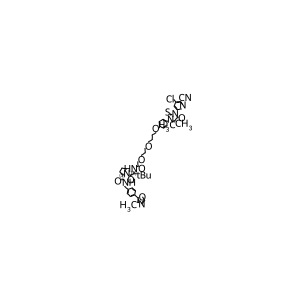 Cc1ncoc1-c1ccc(CNC(=O)[C@@H]2CCCN2C(=O)[C@@H](NC(=O)COCCCOCCCCOc2ccc(N3C(=S)N(c4cnc(C#N)c(Cl)c4)C(=O)C3(C)C)cc2)C(C)(C)C)cc1